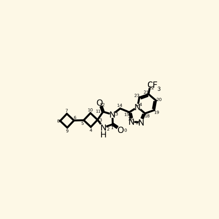 O=C1NC2(CC(C3CCC3)C2)C(=O)N1Cc1nnc2ccc(C(F)(F)F)cn12